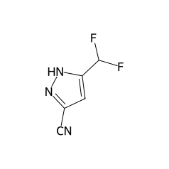 N#Cc1cc(C(F)F)[nH]n1